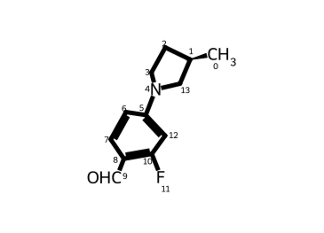 C[C@@H]1CCN(c2ccc(C=O)c(F)c2)C1